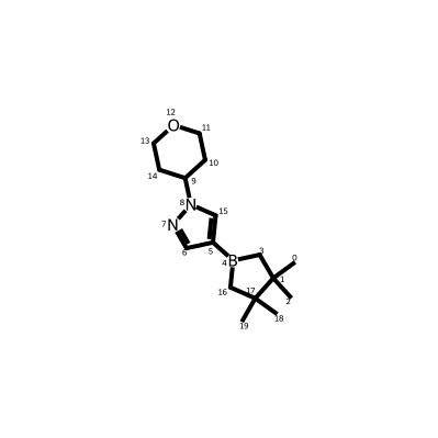 CC1(C)CB(c2cnn(C3CCOCC3)c2)CC1(C)C